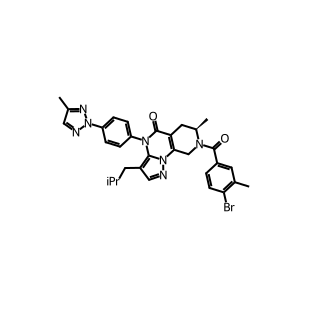 Cc1cnn(-c2ccc(-n3c(=O)c4c(n5ncc(CC(C)C)c35)CN(C(=O)c3ccc(Br)c(C)c3)[C@H](C)C4)cc2)n1